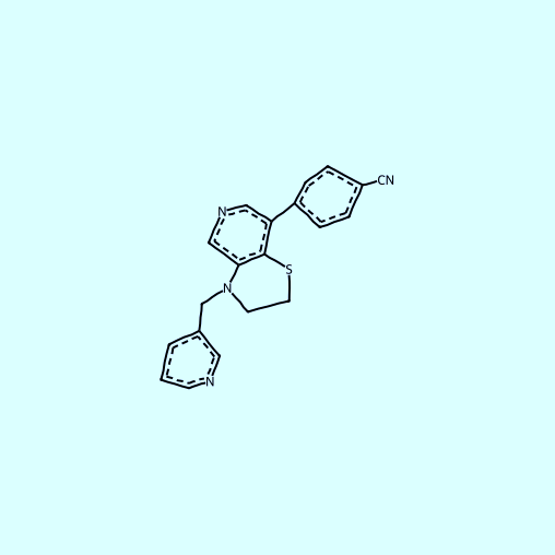 N#Cc1ccc(-c2cncc3c2SCCN3Cc2cccnc2)cc1